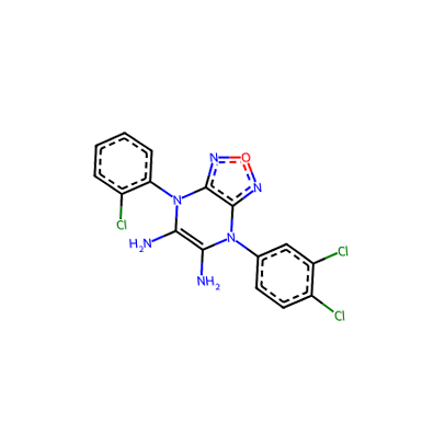 NC1=C(N)N(c2ccccc2Cl)c2nonc2N1c1ccc(Cl)c(Cl)c1